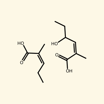 CCC(O)C=C(C)C(=O)O.CCC=C(C)C(=O)O